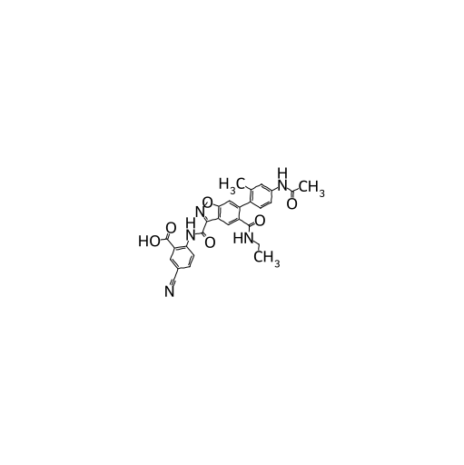 CCNC(=O)c1cc2c(C(=O)Nc3ccc(C#N)cc3C(=O)O)noc2cc1-c1ccc(NC(C)=O)cc1C